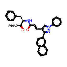 COC(=O)[C@@H](Cc1ccccc1)NC(=O)/C=C/c1cn(-c2ccccc2)nc1-c1ccc2ccccc2c1